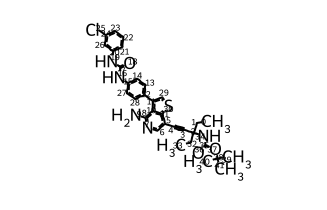 CCC(C#Cc1cnc(N)c2c(-c3ccc(NC(=O)Nc4cccc(Cl)c4)cc3)csc12)(CC)NC(=O)OC(C)(C)C